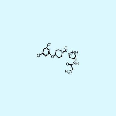 NCC(=O)N[C@@H]1CN[C@@H](C(=O)N2CCC(Oc3cc(Cl)cc(Cl)c3)CC2)C1